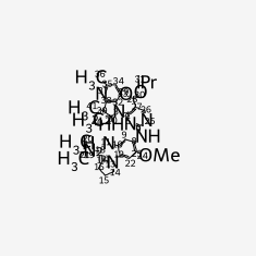 [2H]C1([2H])N(c2nc(Nc3cc(N)c(N4CCC[C@@H]4CN(C)C)cc3OC)ncc2C(=O)OC(C)C)c2ccc(C)nc2C1(C)C